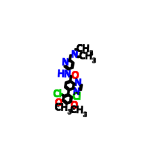 CCN(CC)Cc1ccc(NC(=O)c2ccc(-c3c(Cl)c(OC)cc(OC)c3Cl)c3nccnc23)cn1